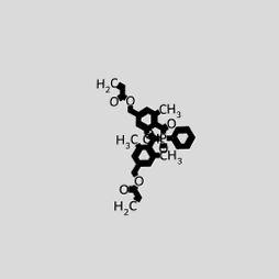 C=CC(=O)OCc1cc(C)c(C(=O)P(=O)(C(=O)c2c(C)cc(COC(=O)C=C)cc2C)c2ccccc2)c(C)c1